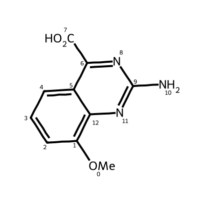 COc1cccc2c(C(=O)O)nc(N)nc12